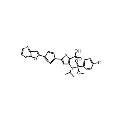 COP(=O)(c1ccc(Cl)cc1)N(c1cc(-c2ccc(-c3cc4ncccc4o3)cc2)sc1C(=O)O)C(C)C